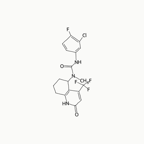 CN(C(=O)Nc1ccc(F)c(Cl)c1)C1CCCc2[nH]c(=O)cc(C(F)(F)F)c21